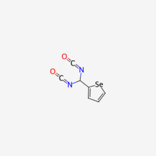 O=C=NC(N=C=O)c1ccc[se]1